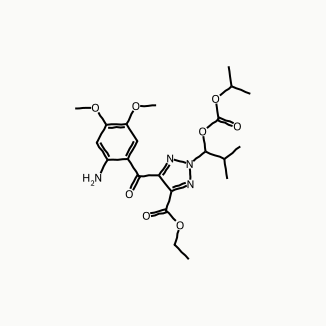 CCOC(=O)c1nn(C(OC(=O)OC(C)C)C(C)C)nc1C(=O)c1cc(OC)c(OC)cc1N